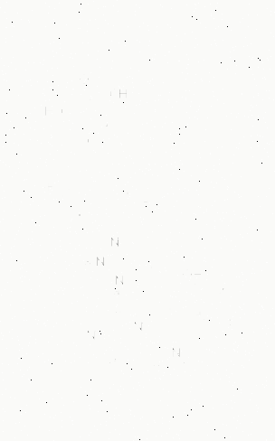 CC(C)(O)COc1cc(F)c(-n2cc(C(O)c3c(C4CC4)ncc4cncn34)nn2)cc1F